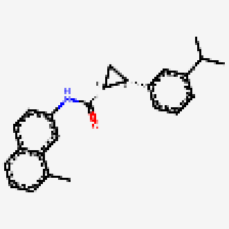 Cc1cccc2ccc(NC(=O)[C@@H]3C[C@@H]3c3cccc(C(C)C)c3)cc12